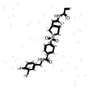 C=CC(=O)Nc1cc2c(s1)CN(S(=O)(=O)c1ccc(C(=O)NCc3ccc(F)c(F)c3)cc1)C2